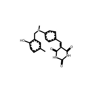 Cc1ccc(O)c(CN(C)c2ccc(C=C3C(=O)NC(=O)NC3=O)cc2)c1